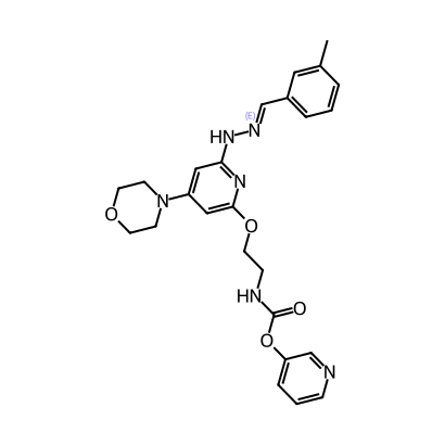 Cc1cccc(/C=N/Nc2cc(N3CCOCC3)cc(OCCNC(=O)Oc3cccnc3)n2)c1